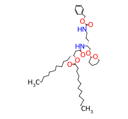 CCCCCCCCCCCC(=O)O[C@H](CCCCCCCCCCC)CC(=O)N[C@H](CCCNC(=O)OCc1ccccc1)COC1CCCCO1